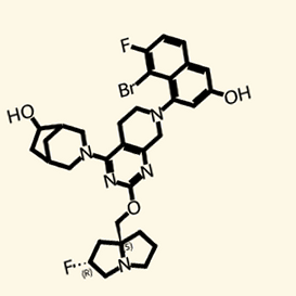 Oc1cc(N2CCc3c(nc(OC[C@@]45CCCN4C[C@H](F)C5)nc3N3CC4CC(O)C(C4)C3)C2)c2c(Br)c(F)ccc2c1